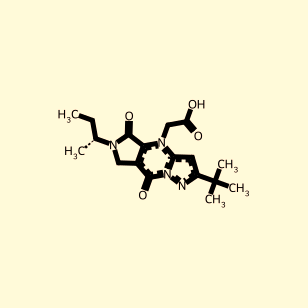 CC[C@@H](C)N1Cc2c(n(CC(=O)O)c3cc(C(C)(C)C)nn3c2=O)C1=O